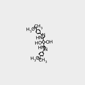 CN(C)c1ccc(-c2ncc(C3C(O)C(c4cnc(-c5ccc(N(C)C)cc5)[nH]4)C3O)[nH]2)cc1